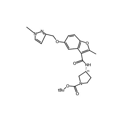 Cc1oc2ccc(OCc3ccn(C)n3)cc2c1C(=O)N[C@@H]1CCN(C(=O)OC(C)(C)C)C1